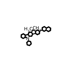 CC1(C)c2cc(-c3ccc4ccccc4c3)ccc2-c2cc3c(cc21)c1ccccc1n3-c1ccccc1